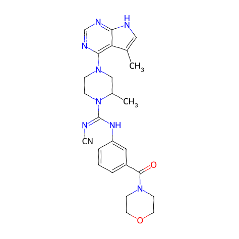 Cc1c[nH]c2ncnc(N3CCN(C(=NC#N)Nc4cccc(C(=O)N5CCOCC5)c4)C(C)C3)c12